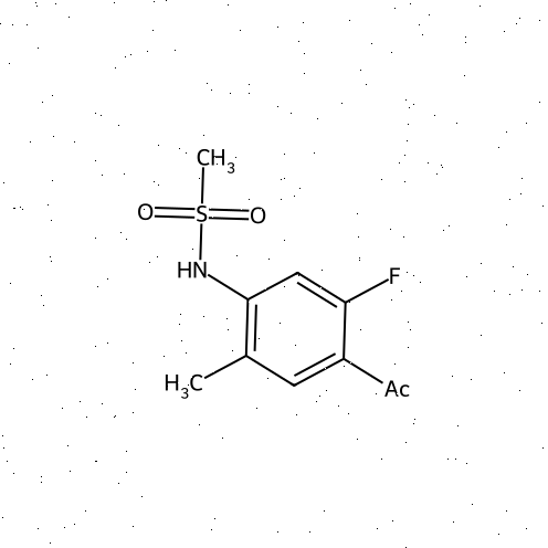 CC(=O)c1cc(C)c(NS(C)(=O)=O)cc1F